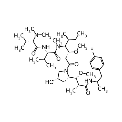 CC[C@H](C)[C@@H]([C@@H](CC(=O)N1C[C@@H](O)C[C@H]1[C@H](OC)[C@@H](C)C(=O)N[C@H](C)Cc1ccc(F)cc1)OC)N(C)C(=O)[C@@H](NC(=O)[C@H](C(C)C)N(C)C)C(C)C